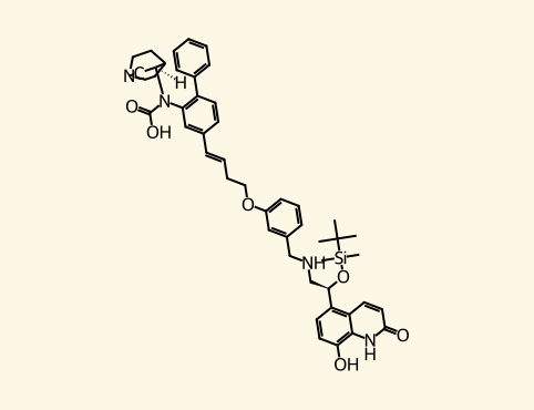 CC(C)(C)[Si](C)(C)O[C@H](CNCc1cccc(OCC/C=C/c2ccc(-c3ccccc3)c(N(C(=O)O)[C@H]3CN4CCC3CC4)c2)c1)c1ccc(O)c2[nH]c(=O)ccc12